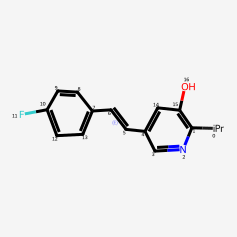 CC(C)c1ncc(/C=C/c2ccc(F)cc2)cc1O